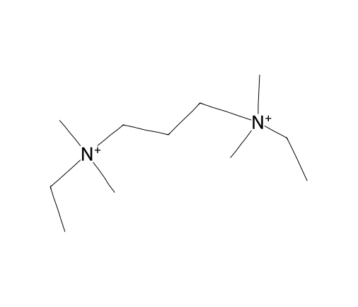 CC[N+](C)(C)CCC[N+](C)(C)CC